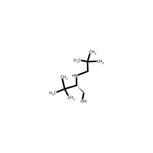 CC(C)(C)CN[C@H](CO)C(C)(C)C